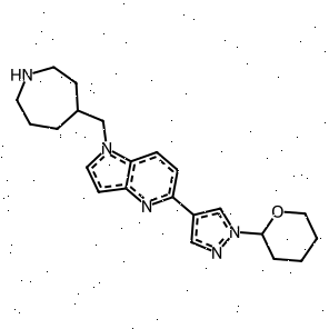 c1nn(C2CCCCO2)cc1-c1ccc2c(ccn2CC2CCCNCC2)n1